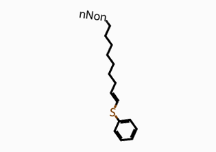 CCCCCCCCCCCCCCCCC=CSc1ccccc1